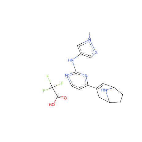 Cn1cc(Nc2nccc(C3=CC4CCC(C3)N4)n2)cn1.O=C(O)C(F)(F)F